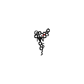 CCCCc1ccc2c(c1)sc1cc(-c3nc(-c4ccccc4)nc(-c4cccc5oc6ccc(-c7ccc8sc9ccccc9c8c7)cc6c45)n3)ccc12